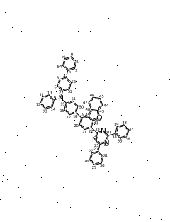 c1ccc(-c2ccc(N(c3ccccc3)c3ccc(-c4ccc(-c5nc(-c6ccccc6)nc(-c6ccccc6)n5)c5oc6ccccc6c45)cc3)cc2)cc1